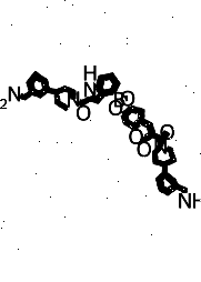 NCc1cccc(C2CCN(C(=O)c3cc4c(B5Oc6cc7cc(C(=O)N8CCC(c9cccc(CN)c9)CC8)c(=O)oc7cc6O5)cccc4[nH]3)CC2)c1